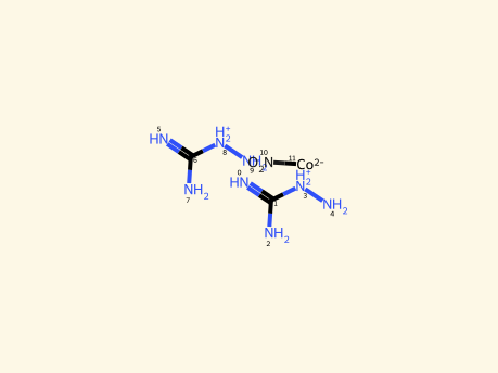 N=C(N)[NH2+]N.N=C(N)[NH2+]N.O=[N+]([O-])[Co-2]